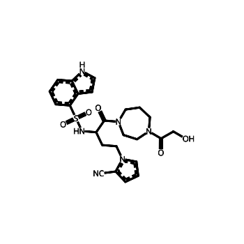 N#Cc1cccn1CCC(NS(=O)(=O)c1cccc2[nH]ccc12)C(=O)N1CCCN(C(=O)CO)CC1